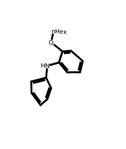 CCCCCCOc1ccccc1Nc1ccccc1